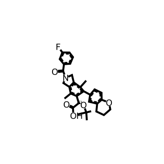 Cc1c2c(c(C)c([C@H](OC(C)(C)C)C(=O)O)c1-c1ccc3c(c1)CCCO3)CN(C(=O)c1cccc(F)c1)C2